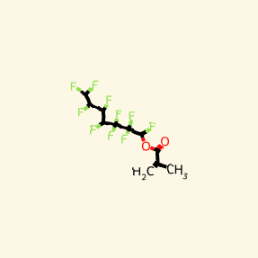 C=C(C)C(=O)OC(F)C(F)(F)C(F)(F)C(F)C(F)C(F)C(F)F